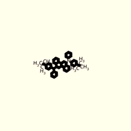 CC(C)(C)c1ccc(C(c2ccccc2)c2cc3c4ccccc4c(N(c4ccccc4)c4ccc(C(C)(C)C)cc4)cc3c3ccccc23)cc1